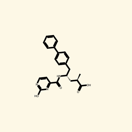 C[C@H](C[C@@H](Cc1ccc(-c2ccccc2)cc1)NC(=O)c1ccnc(O)n1)C(=O)O